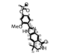 COc1cc(OS(C)(=O)=O)ccc1-c1nc2cc3c(cc2[nH]1)C(C)(C)CNC3=O